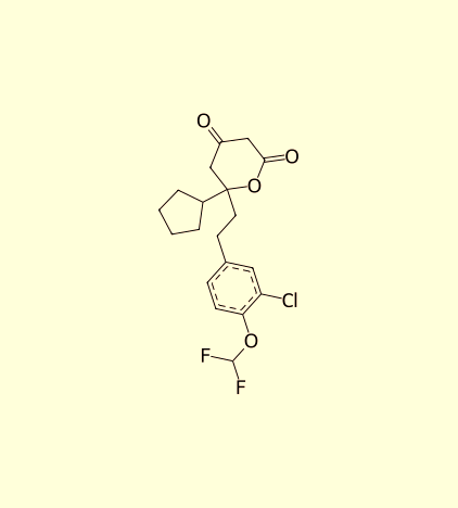 O=C1CC(=O)OC(CCc2ccc(OC(F)F)c(Cl)c2)(C2CCCC2)C1